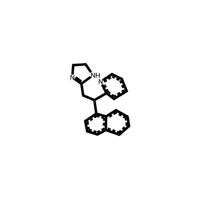 c1ccc(C(CC2=NCCN2)c2cccc3ccccc23)nc1